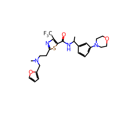 CC(NC(=O)c1sc(CCN(C)Cc2ccco2)nc1C(F)(F)F)c1cccc(N2CCOCC2)c1